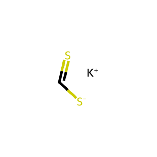 S=C[S-].[K+]